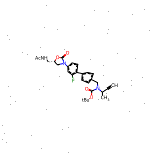 C#CC(C)N(Cc1ccc(-c2ccc(N3C[C@H](CNC(C)=O)OC3=O)cc2F)cc1)C(=O)OC(C)(C)C